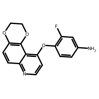 Nc1ccc(Oc2ccnc3ccc4c(c23)OCCO4)c(F)c1